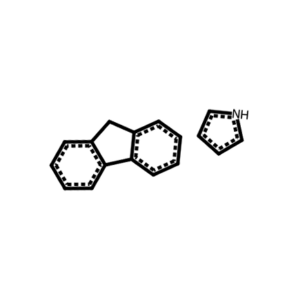 c1cc[nH]c1.c1ccc2c(c1)Cc1ccccc1-2